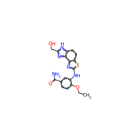 CCOc1ccc(C(N)=O)cc1Nc1nc2c(ccc3[nH]c(CO)nc32)s1